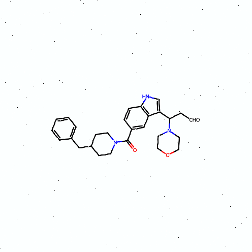 O=CCC(c1c[nH]c2ccc(C(=O)N3CCC(Cc4ccccc4)CC3)cc12)N1CCOCC1